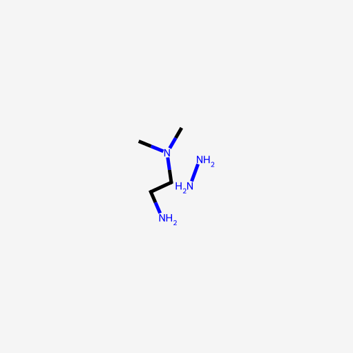 CN(C)CCN.NN